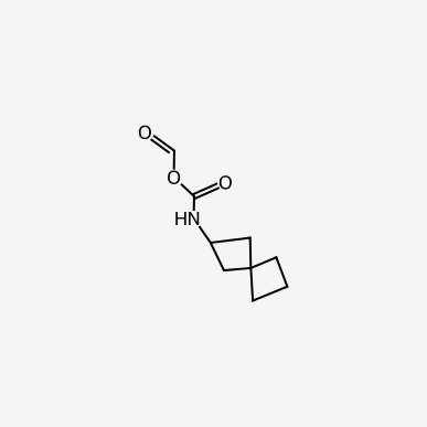 O=COC(=O)NC1CC2(CCC2)C1